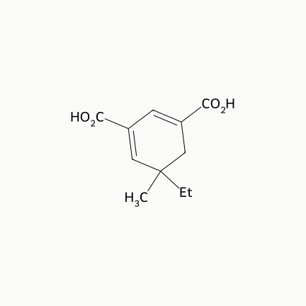 CCC1(C)C=C(C(=O)O)C=C(C(=O)O)C1